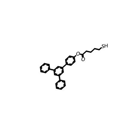 O=C(CCCCS)Oc1ccc(-c2cc(-c3ccccc3)cc(-c3ccccc3)c2)cc1